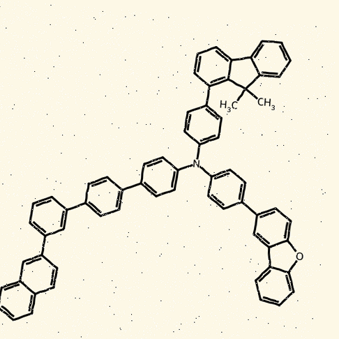 CC1(C)c2ccccc2-c2cccc(-c3ccc(N(c4ccc(-c5ccc(-c6cccc(-c7ccc8ccccc8c7)c6)cc5)cc4)c4ccc(-c5ccc6oc7ccccc7c6c5)cc4)cc3)c21